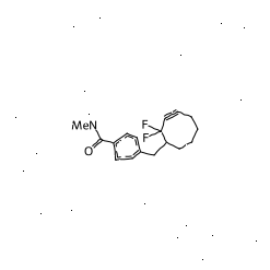 CNC(=O)c1ccc(CC2CCCCC#CC2(F)F)cc1